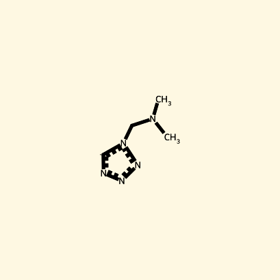 CN(C)Cn1[c]nnn1